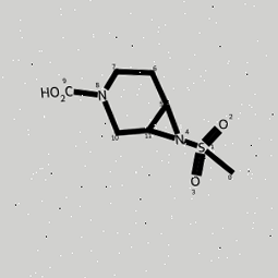 CS(=O)(=O)N1C2CCN(C(=O)O)CC21